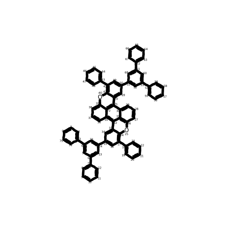 c1ccc(-c2cc(-c3ccccc3)cc(-c3cc(-c4ccccc4)c4oc5cccc6c5c(c4c3)c3cccc4oc5c(-c7ccccc7)cc(-c7cc(-c8ccccc8)cc(-c8ccccc8)c7)cc5c6c43)c2)cc1